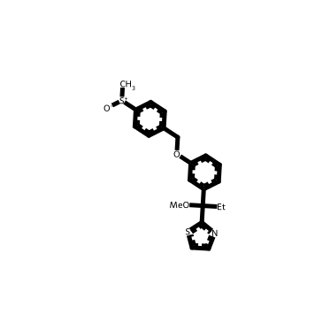 CCC(OC)(c1cccc(OCc2ccc([S+](C)[O-])cc2)c1)c1nccs1